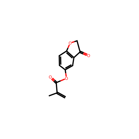 C=C(C)C(=O)Oc1ccc2c(c1)C(=O)CO2